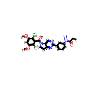 CCC(=O)Nc1cccc(-c2ncc3c(ccn3C(=O)c3c(Cl)c(OC)cc(OC)c3Cl)n2)c1